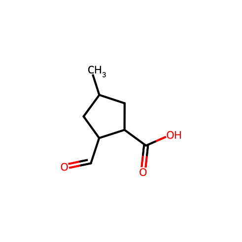 CC1CC(C=O)C(C(=O)O)C1